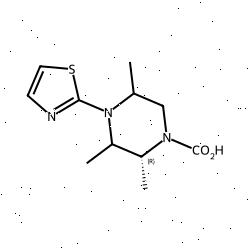 CC1CN(C(=O)O)[C@H](C)C(C)N1c1nccs1